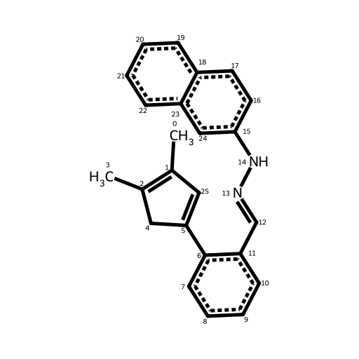 CC1=C(C)CC(c2ccccc2C=NNc2ccc3ccccc3c2)=C1